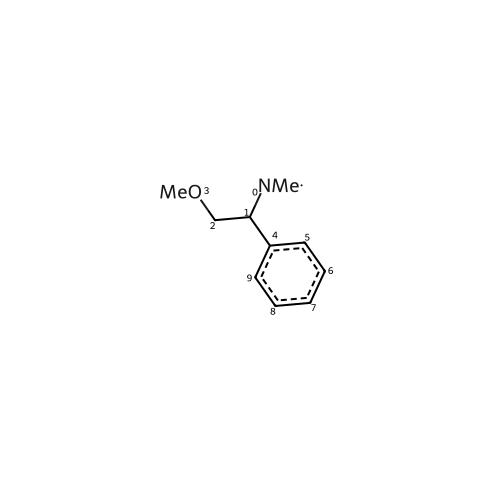 C[N]C(COC)c1ccccc1